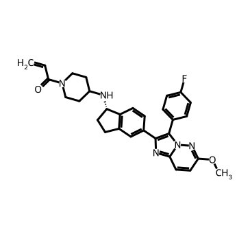 C=CC(=O)N1CCC(N[C@H]2CCc3cc(-c4nc5ccc(OC)nn5c4-c4ccc(F)cc4)ccc32)CC1